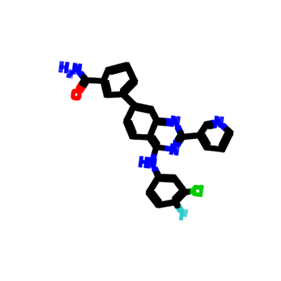 NC(=O)c1cccc(-c2ccc3c(Nc4ccc(F)c(Cl)c4)nc(-c4cccnc4)nc3c2)c1